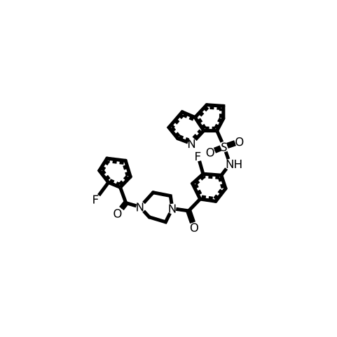 O=C(c1ccc(NS(=O)(=O)c2cccc3cccnc23)c(F)c1)N1CCN(C(=O)c2ccccc2F)CC1